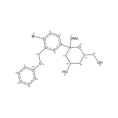 COC1(c2ccc(Br)c(COc3ccccc3)c2)CC(O)CC(CO)O1